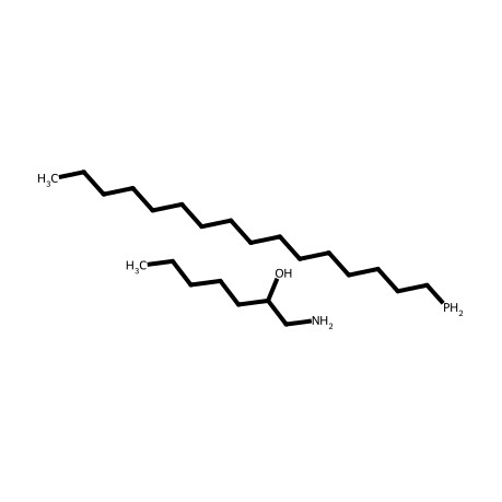 CCCCCC(O)CN.CCCCCCCCCCCCCCCCP